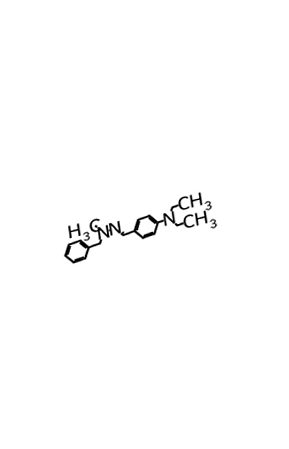 CCN(CC)c1ccc(C=NN(C)Cc2ccccc2)cc1